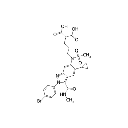 CNC(=O)c1c2cc(C3CC3)c(N(CCCC(C(=O)O)C(=O)O)S(C)(=O)=O)cc2nn1-c1ccc(Br)cc1